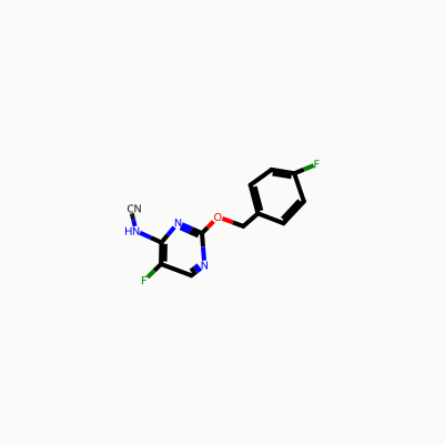 N#CNc1nc(OCc2ccc(F)cc2)ncc1F